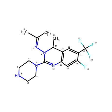 CC(C)=NN1C(N2CCNCC2)=Nc2cc(F)c(C(F)(F)F)cc2C1C